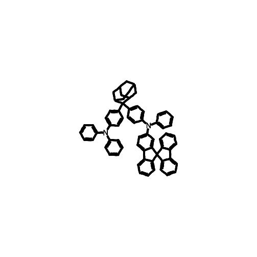 c1ccc(N(c2ccccc2)c2ccc(C3(c4ccc(N(c5ccccc5)c5ccc6c(c5)C5(c7ccccc7-c7ccccc75)c5ccccc5-6)cc4)C4CC5CC(C4)CC3C5)cc2)cc1